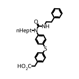 CCCCCCCN(C(=O)NCCc1ccccc1)c1ccc(Sc2ccc(CC(=O)O)cc2)cc1